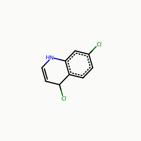 Clc1ccc2c(c1)NC=[C]C2Cl